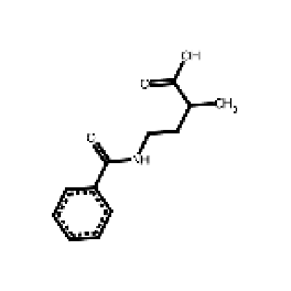 CC(CCNC(=O)c1ccccc1)C(=O)O